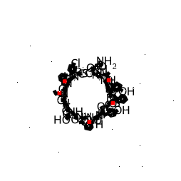 CCCC[C@H]1C(=O)N(C)CC(=O)N[C@@H](CC(=O)O)C(=O)N[C@@H](C(C)C)C(=O)N(C)[C@@H](Cc2ccccc2)C(=O)N[C@H]2Cc3ccc(O)cc3N(CC(=O)N[C@@H](Cc3csc4ccccc34)C(=O)N[C@@H](Cc3ccc(O)cc3)C(=O)N[C@@H](CC(C)C)C(=O)N[C@H](C(=O)NCC(N)=O)CSCC(=O)N[C@@H](Cc3ccc(Cl)cc3)C(=O)N(C)[C@@H](Cc3ccccc3)C(=O)N1C)C2=O